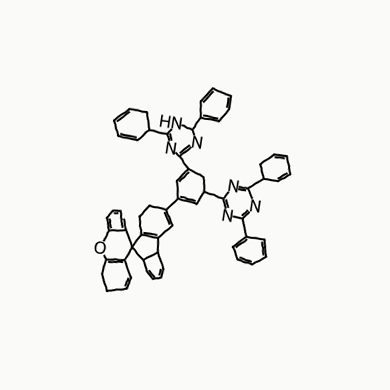 C1=CCC(C2=NC(C3=CC(C4=CC5=C(CC4)C4(C6=C(CCC=C6)Oc6ccccc64)C4C=CC=CC54)=CC(c4nc(-c5ccccc5)nc(C5C=CC=CC5)n4)C3)=NC(c3ccccc3)N2)C=C1